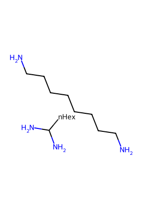 CCCCCCC(N)N.NCCCCCCCCN